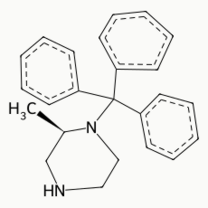 C[C@@H]1CNCCN1C(c1ccccc1)(c1ccccc1)c1ccccc1